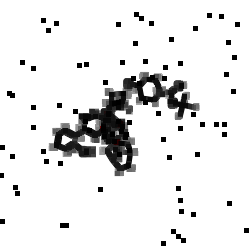 CC(C)(C)OC(=O)N1CCC(O[C@H]2C[C@H](Oc3cnc(N4C5CCC4CC(n4nc(N)c6nnc(-c7ccccc7O)cc64)C5)nc3)C2)CC1